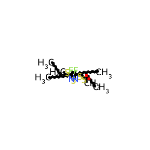 CCCCCCCCC(CCCCCC)Cc1cc(-c2c(F)c(F)c(-c3cc(CC(CCCCCC)CCCCCCCC)c(-c4ccc(C)s4)s3)c3nsnc23)sc1C